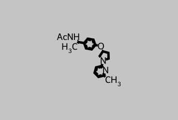 CC(=O)N[C@@H](C)c1ccc(O[C@@H]2CCN(c3cccc(C)n3)C2)cc1